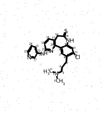 CN(C)CCCc1cc2c(cc1Cl)NC(=S)Cc1ccc(Nc3cccnc3)nc1-2